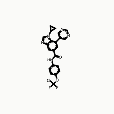 O=C(Nc1ccc(OC(F)(F)Cl)cc1)c1cc(-c2cncnc2)c2c(c1)ncn2C1CC1